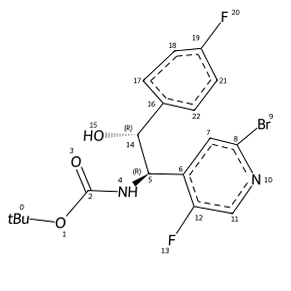 CC(C)(C)OC(=O)N[C@H](c1cc(Br)ncc1F)[C@H](O)c1ccc(F)cc1